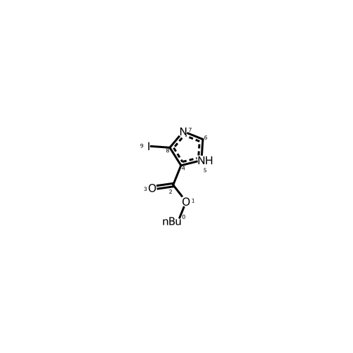 CCCCOC(=O)c1[nH]cnc1I